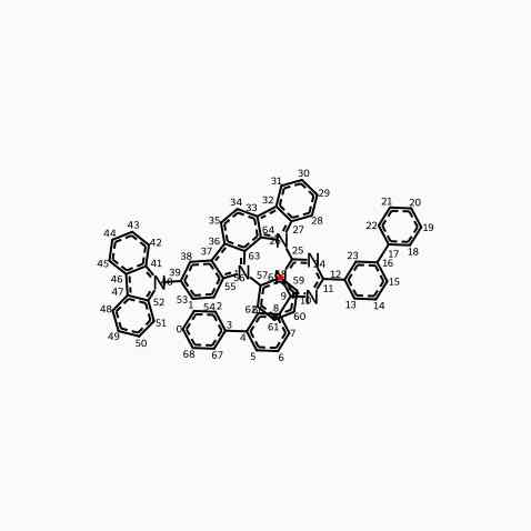 c1ccc(-c2cccc(-c3nc(-c4cccc(-c5ccccc5)c4)nc(-n4c5ccccc5c5ccc6c7cc(-n8c9ccccc9c9ccccc98)ccc7n(-c7ccccc7)c6c54)n3)c2)cc1